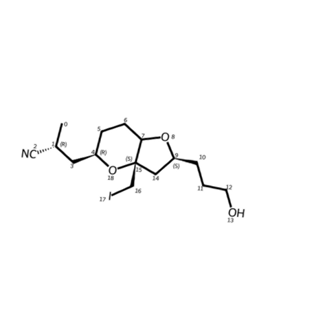 C[C@@H](C#N)C[C@H]1CCC2O[C@@H](CCCO)C[C@]2(CI)O1